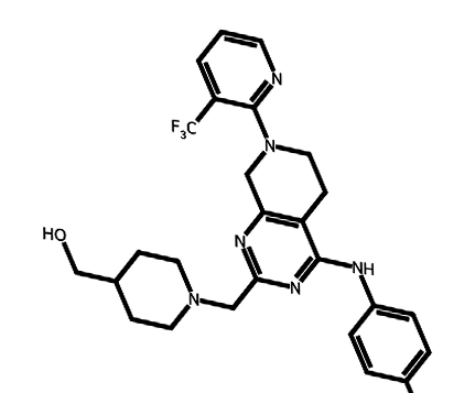 OCC1CCN(Cc2nc3c(c(Nc4ccc(C(F)(F)F)cc4)n2)CCN(c2ncccc2C(F)(F)F)C3)CC1